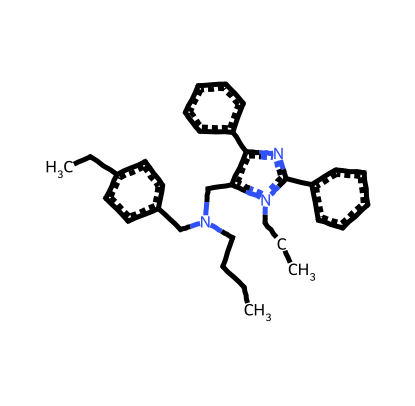 CCCCN(Cc1ccc(CC)cc1)Cc1c(-c2ccccc2)nc(-c2ccccc2)n1CCC